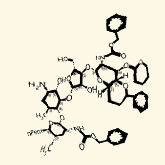 CCCCC[C@H]1O[C@H](O[C@H]2[C@H](O[C@@H]3O[C@H](CO)[C@@H](O[C@H]4O[C@H]5CCC(c6ccccc6)O[C@H]5[C@H](OC5CCCCO5)[C@H]4NC(=O)OCc4ccccc4)[C@H]3O)[C@@H](O)[C@H](N)C[C@@H]2C)[C@H](NC(=O)OCc2ccccc2)C[C@@H]1C